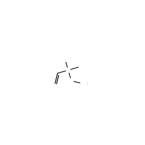 C=C[Si](C)(F)O[SiH3]